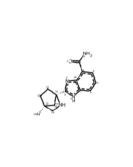 NC(=O)c1cccc2[nH]c([C@]34CC[C@H](CN3)C4)nc12